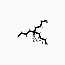 CCCCC(CCCC)(CCCC)O[SiH3]